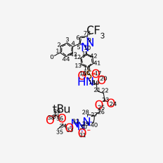 Cc1ccc(-c2cc(C(F)(F)F)nn2-c2ccc(S(=O)(=O)NC(=O)CCC(=O)OCC3CN([N+]([O-])=NOC(C)OC(=O)C(C)(C)C)C3)cc2)cc1